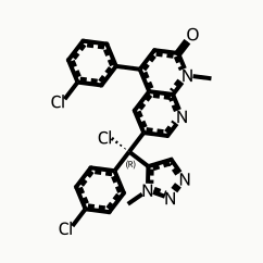 Cn1nncc1[C@@](Cl)(c1ccc(Cl)cc1)c1cnc2c(c1)c(-c1cccc(Cl)c1)cc(=O)n2C